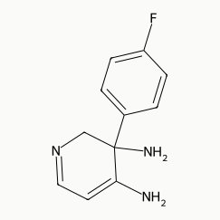 NC1=CC=NCC1(N)c1ccc(F)cc1